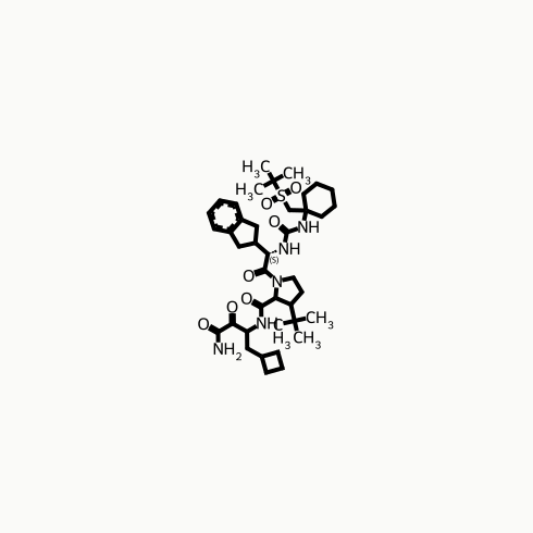 CC(C)(C)C1CCN(C(=O)[C@@H](NC(=O)NC2(CS(=O)(=O)C(C)(C)C)CCCCC2)C2Cc3ccccc3C2)C1C(=O)NC(CC1CCC1)C(=O)C(N)=O